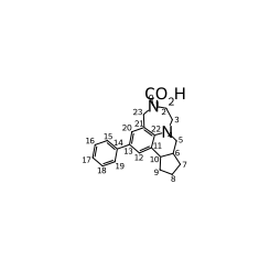 O=C(O)N1CCN2CC3CCCC3c3cc(-c4ccccc4)cc(c32)C1